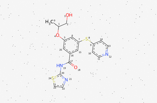 CC(CO)Oc1cc(Sc2ccncc2)cc(C(=O)Nc2nccs2)c1